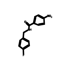 O=C(NCc1ccc(F)cc1)c1ccc([N+](=O)[O-])cc1